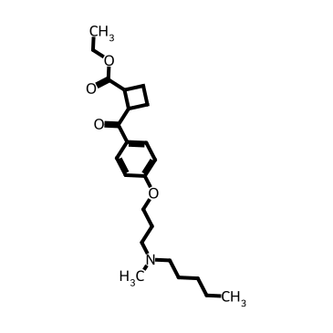 CCCCCN(C)CCCOc1ccc(C(=O)C2CCC2C(=O)OCC)cc1